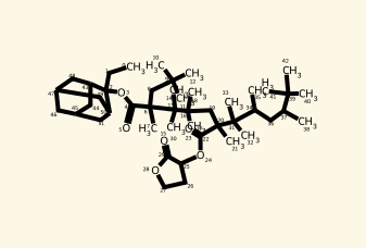 CCC1(OC(=O)C(C)(CC(C)(C)C)C(C)(C)C(C)(C)CC(C)(C(=O)OC2CCOC2=O)C(C)(C)C(C)CC(C)C(C)(C)C)C2CC3CC(C2)CC1C3